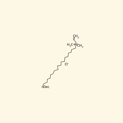 C=CC[N+](C)(C)CCCCCCCCCCCCCCCCCCCCCCCCCCCC.[Cl-]